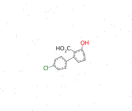 O=C(O)c1c(O)cccc1-c1ccc(Cl)cc1